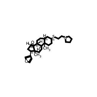 C[C@]12CC[C@H](SCCN3CCCC3)C[C@@H]1CC[C@@H]1[C@@H]2CC[C@]2(C)[C@@H](c3ccoc3)C[C@H]3O[C@]132